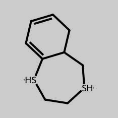 C1=CCC2C[SH]CC[SH]C2=C1